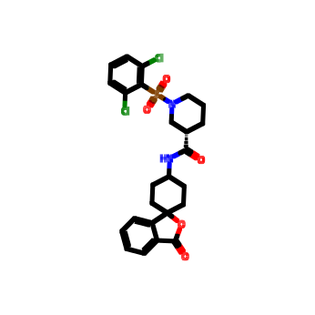 O=C1OC2(CCC(NC(=O)[C@H]3CCCN(S(=O)(=O)c4c(Cl)cccc4Cl)C3)CC2)c2ccccc21